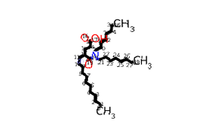 CCCCCCCCCC/C=C\C(CCC(=O)O)C(=O)N(CCCCCCCC)CCCCCCCC